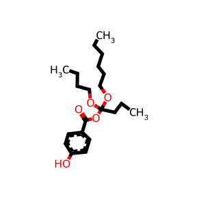 CCCCCCOC(CCC)(OCCCC)OC(=O)c1ccc(O)cc1